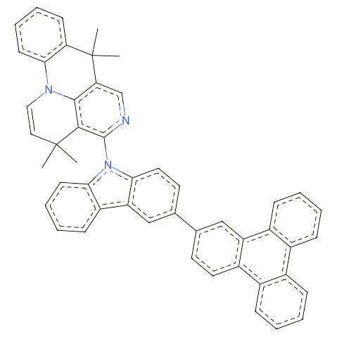 CC1(C)C=CN2c3ccccc3C(C)(C)c3cnc(-n4c5ccccc5c5cc(-c6ccc7c8ccccc8c8ccccc8c7c6)ccc54)c1c32